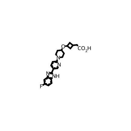 O=C(O)CC1CC(OC2CCN(c3ccc(-c4nc5cc(F)ccc5[nH]4)cn3)CC2)C1